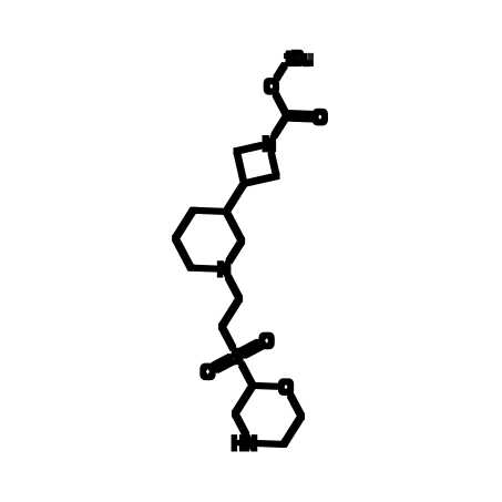 CC(C)(C)OC(=O)N1CC(C2CCCN(CCS(=O)(=O)C3CNCCO3)C2)C1